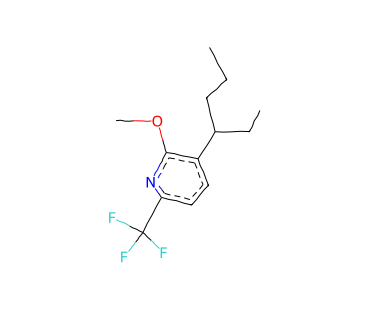 CCCC(CC)c1ccc(C(F)(F)F)nc1OC